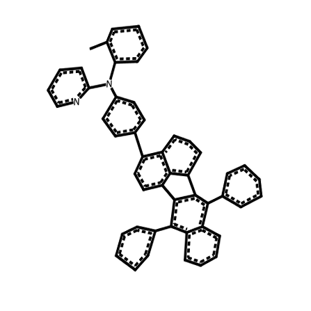 Cc1ccccc1N(c1ccc(-c2ccc3c4c(cccc24)-c2c-3c(-c3ccccc3)c3ccccc3c2-c2ccccc2)cc1)c1ccccn1